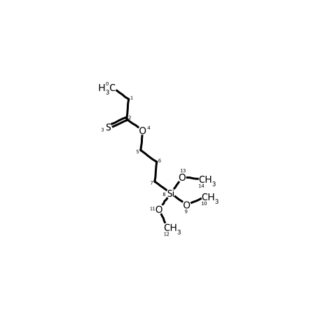 CCC(=S)OCCC[Si](OC)(OC)OC